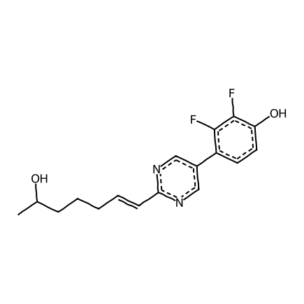 CC(O)CCC/C=C/c1ncc(-c2ccc(O)c(F)c2F)cn1